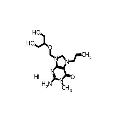 C=CCN1CN(COC(CO)CO)c2nc(N)n(C)c(=O)c21.I